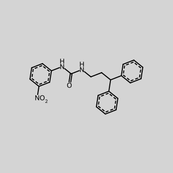 O=C(NCCC(c1ccccc1)c1ccccc1)Nc1cccc([N+](=O)[O-])c1